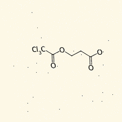 [O]C(=O)CCOC(=O)C(Cl)(Cl)Cl